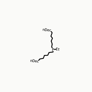 CCCCCCCCCCCCCCCCP(CC)CCCCCCCCCCCCCCCC